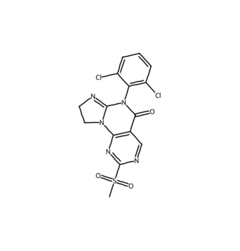 CS(=O)(=O)c1ncc2c(n1)N1CCN=C1N(c1c(Cl)cccc1Cl)C2=O